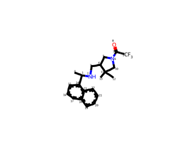 CC(NCC1CN(C(=O)C(F)(F)F)CC1(C)C)c1cccc2ccccc12